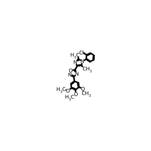 COc1cc(-c2noc(-c3nc(C)n(-c4ccccc4Cl)c3C)n2)cc(OC)c1OC